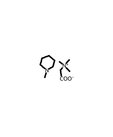 CN1CCCCC1.C[N+](C)(C)CC(=O)[O-]